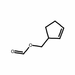 O=COCC1C=CCC1